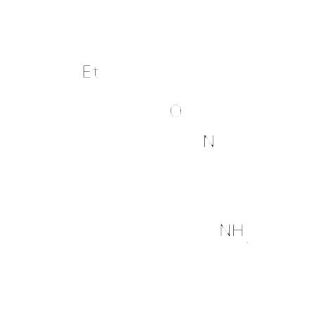 CCC(C)c1cc(N)no1